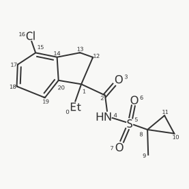 CCC1(C(=O)NS(=O)(=O)C2(C)CC2)CCc2c(Cl)cccc21